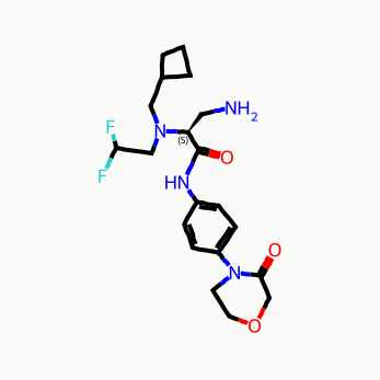 NC[C@@H](C(=O)Nc1ccc(N2CCOCC2=O)cc1)N(CC(F)F)CC1CCC1